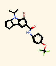 CC(C)N1c2c(Br)cc(C(=O)Nc3ccc(OC(F)(F)Cl)cc3)cc2C2CC=CC21